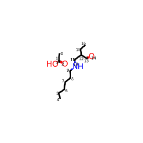 CC(=O)O.CCCCCCNCC(C=O)CC